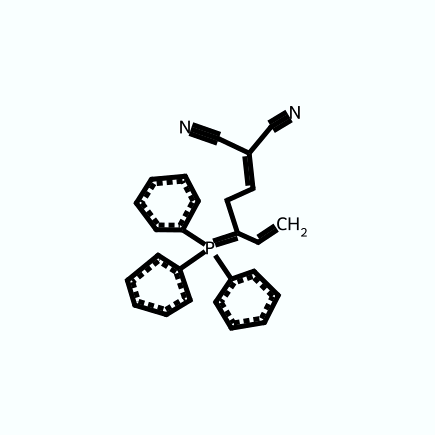 C=CC(CC=C(C#N)C#N)=P(c1ccccc1)(c1ccccc1)c1ccccc1